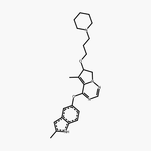 CC1=C2C(Oc3ccc4[nH]c(C)cc4c3)=NC=NN2CC1OCCCN1CCCCC1